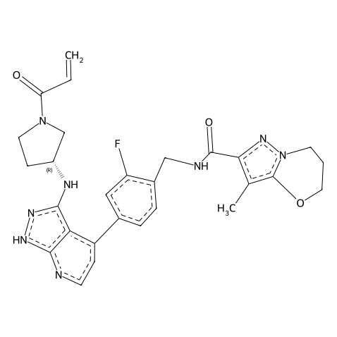 C=CC(=O)N1CC[C@@H](Nc2n[nH]c3nccc(-c4ccc(CNC(=O)c5nn6c(c5C)OCCC6)c(F)c4)c23)C1